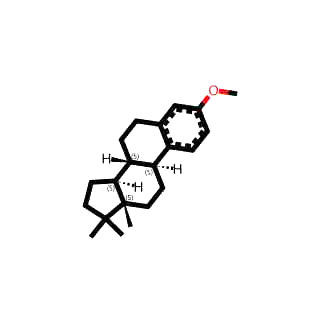 COc1ccc2c(c1)CC[C@@H]1[C@@H]2CC[C@@]2(C)[C@H]1CCC2(C)C